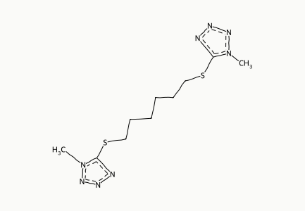 Cn1nnnc1SCCCCCCSc1nnnn1C